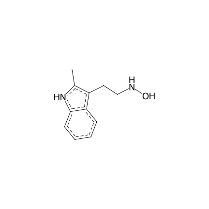 Cc1[nH]c2ccccc2c1CCNO